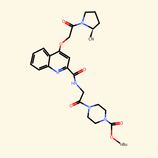 CCCCOC(=O)N1CCN(C(=O)CNC(=O)c2cc(OCC(=O)N3CCC[C@H]3C#N)c3ccccc3n2)CC1